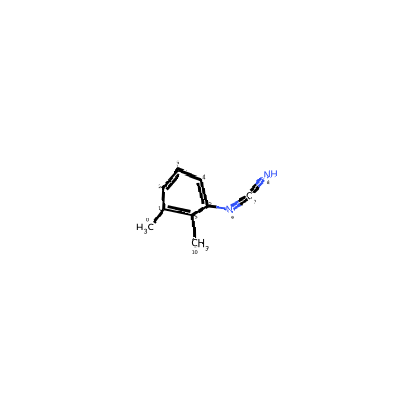 Cc1cccc(N=C=N)c1C